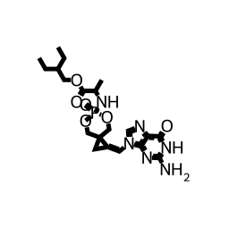 CCC(CC)COC(=O)C(C)NP1(=O)OCC2(CO1)C/C2=C/n1cnc2c(=O)[nH]c(N)nc21